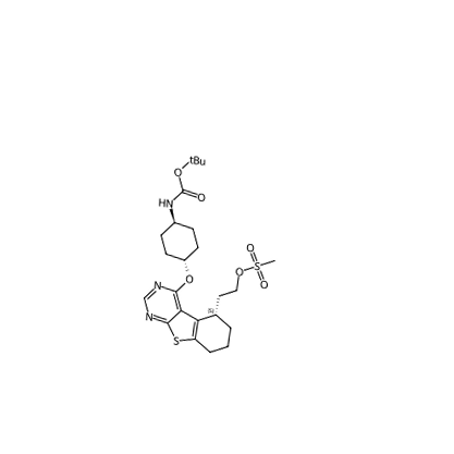 CC(C)(C)OC(=O)N[C@H]1CC[C@H](Oc2ncnc3sc4c(c23)[C@H](CCOS(C)(=O)=O)CCC4)CC1